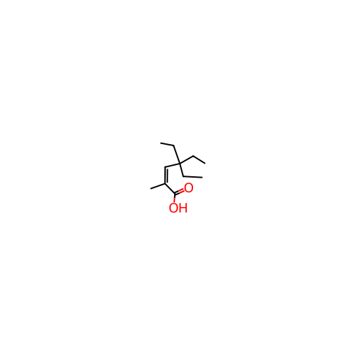 CCC(C=C(C)C(=O)O)(CC)CC